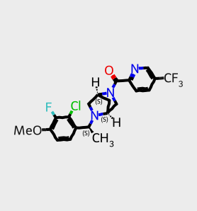 COc1ccc([C@H](C)N2C[C@@H]3C[C@H]2CN3C(=O)c2ccc(C(F)(F)F)cn2)c(Cl)c1F